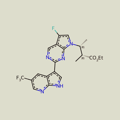 CCOC(=O)[C@H](C)[C@@H](C)n1cc(F)c2cnc(-c3c[nH]c4ncc(C(F)(F)F)cc34)nc21